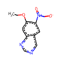 COc1cc2ncncc2cc1[N+](=O)[O-]